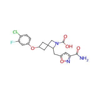 NC(=O)c1cc(CC2N(C(=O)O)CC23CC(Oc2ccc(Cl)c(F)c2)C3)on1